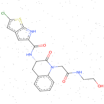 O=C(CN1C(=O)[C@@H](NC(=O)c2cc3cc(Cl)sc3[nH]2)Cc2ccccc21)NCCO